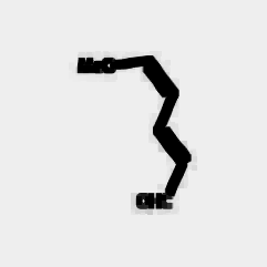 CO/C=C\C=CC=O